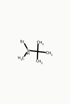 [CH2]C[SiH](C)C(C)(C)C